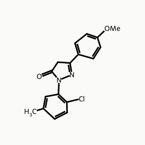 COc1ccc(C2=NN(c3cc(C)ccc3Cl)C(=O)C2)cc1